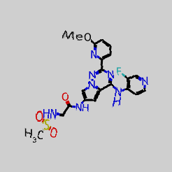 COc1cccc(-c2nc(Nc3ccncc3F)c3cc(NC(=O)CNS(C)(=O)=O)cn3n2)n1